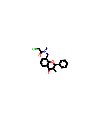 Cc1c(-c2ccccc2)oc2c(CN(C)C(=O)CCl)cccc2c1=O